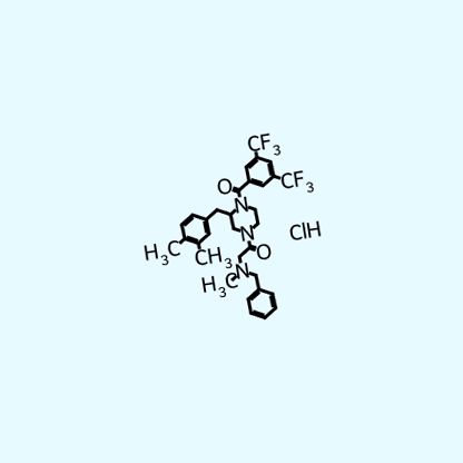 Cc1ccc(CC2CN(C(=O)CN(C)Cc3ccccc3)CCN2C(=O)c2cc(C(F)(F)F)cc(C(F)(F)F)c2)cc1C.Cl